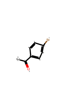 [2H]C(=O)c1ccc(Br)cc1